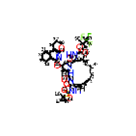 C[C@@H]1CC/C=C\[C@@H]2C[C@@]2(C(=O)NS(=O)(=O)C2(C)CC2)NC(=O)[C@@H]2C[C@@H](Oc3nc4c(c5ccccc35)CCCO4)CN2C(=O)[C@@H](NC(=O)OC(C)(C)C(F)(F)F)[C@H](C)C1